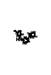 Cn1cc(Nc2nccc(N3CC4CCC3C4)n2)cn1